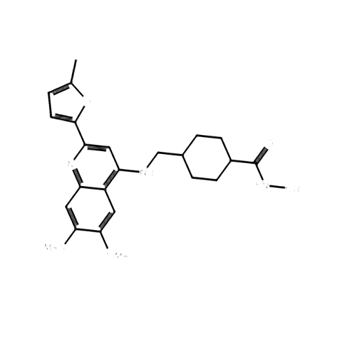 COc1cc2nc(-c3ccc(C)o3)cc(NCC3CCC(C(=O)NO)CC3)c2cc1OC